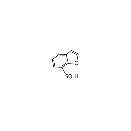 O=S(=O)(O)c1cccc2ccoc12